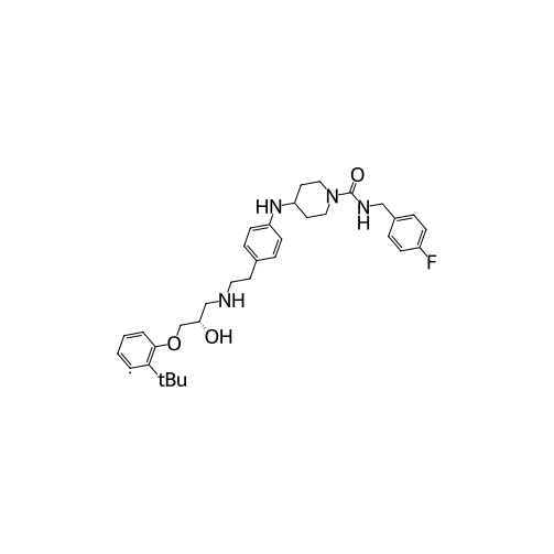 CC(C)(C)c1[c]cccc1OC[C@@H](O)CNCCc1ccc(NC2CCN(C(=O)NCc3ccc(F)cc3)CC2)cc1